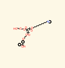 CC(C)(CC(C)(CC(C)(C)C(=O)OCCCOc1ccc(C(C)(O)c2ccccc2)cc1)C(=O)OCCOCCO)C(=O)OCCCCCCCCCCCC[n+]1ccccc1